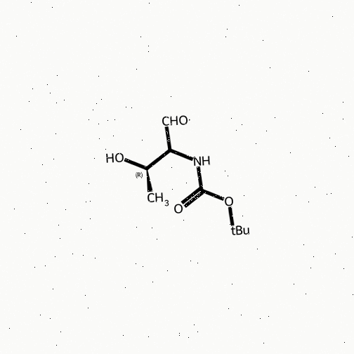 C[C@@H](O)C([C]=O)NC(=O)OC(C)(C)C